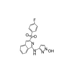 O=S(=O)(c1ccc(F)cc1)c1cc2ccccc2c(Nc2ccn(O)n2)n1